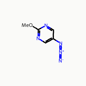 COc1ncc(N=[N+]=[N-])cn1